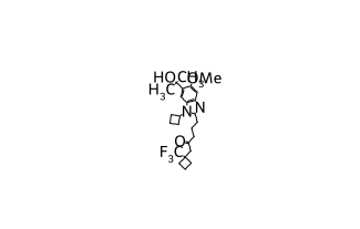 COc1cc2nc(CCCC(=O)CC3(C(F)(F)F)CCC3)n(C3CCC3)c2cc1C(C)(C)O